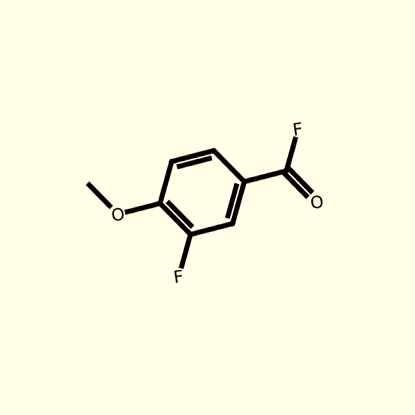 COc1ccc(C(=O)F)cc1F